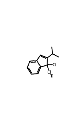 CC(C)C1=Cc2ccccc2C1(Cl)Cl.[Ti]